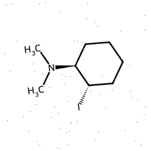 CN(C)[C@H]1CCCC[C@@H]1I